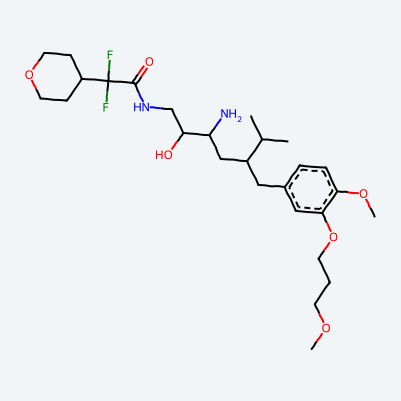 COCCCOc1cc(CC(CC(N)C(O)CNC(=O)C(F)(F)C2CCOCC2)C(C)C)ccc1OC